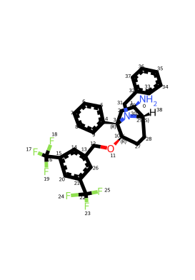 N[C@@H]1C[C@@]2(c3ccccc3)[C@H](OCc3cc(C(F)(F)F)cc(C(F)(F)F)c3)CC[C@@H]1N2Cc1ccccc1